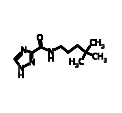 CC(C)(C)CCCNC(=O)c1nc[nH]n1